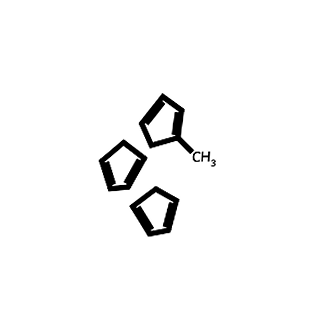 C1=CCC=C1.C1=CCC=C1.CC1=CC=CC1